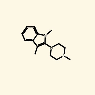 Cc1c(N2CCN(C)CC2)n(C)c2ccccc12